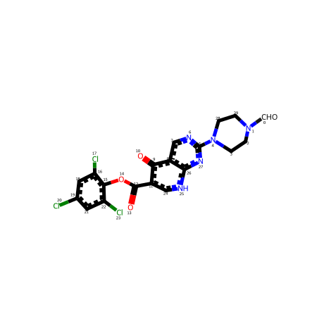 O=CN1CCN(c2ncc3c(=O)c(C(=O)Oc4c(Cl)cc(Cl)cc4Cl)c[nH]c3n2)CC1